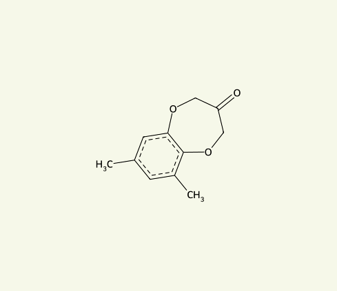 Cc1cc(C)c2c(c1)OCC(=O)CO2